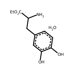 CCOC(=O)C(N)Cc1ccc(O)c(O)c1.O